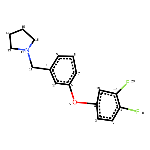 Fc1ccc(Oc2cccc(CN3CCCC3)c2)cc1F